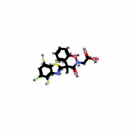 CC1(c2nc3c(F)c(F)cc(F)c3s2)C(=O)N(CC(=O)O)Oc2ccccc21